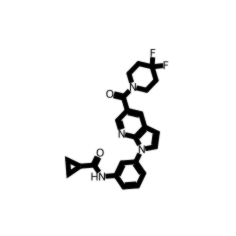 O=C(Nc1cccc(-n2ccc3cc(C(=O)N4CCC(F)(F)CC4)cnc32)c1)C1CC1